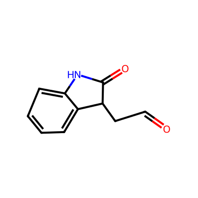 O=CCC1C(=O)Nc2ccccc21